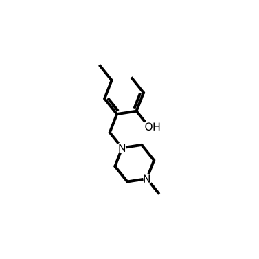 C/C=C(O)\C(=C/CC)CN1CCN(C)CC1